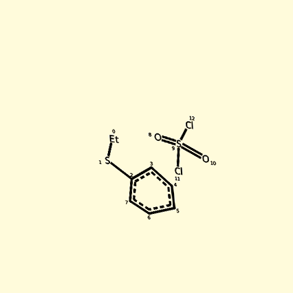 CCSc1ccccc1.O=S(=O)(Cl)Cl